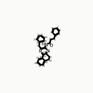 O=C(CCc1ccccc1)Nc1nc2c(nc1Cc1ccccc1)-c1ccccc1CC2